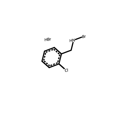 Br.Clc1ccccc1CNBr